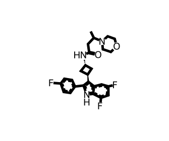 CC(CC(=O)N[C@H]1C[C@H](c2c(-c3ccc(F)cc3)[nH]c3c(F)cc(F)cc32)C1)N1CCOCC1